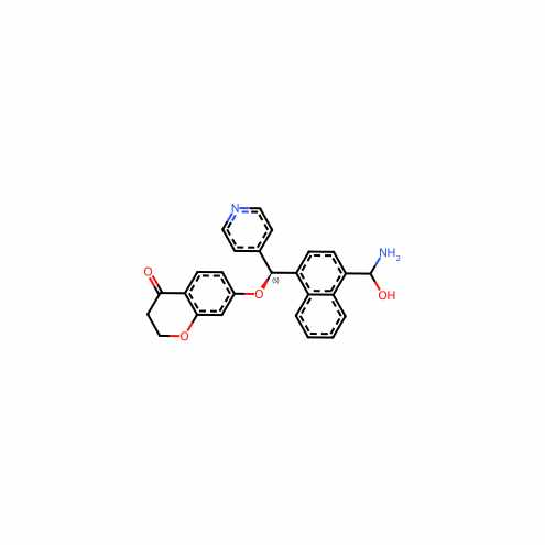 NC(O)c1ccc([C@@H](Oc2ccc3c(c2)OCCC3=O)c2ccncc2)c2ccccc12